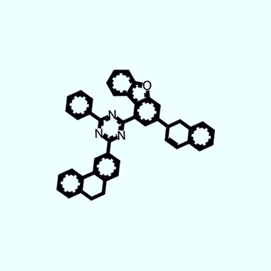 C1=CC(c2cc(-c3nc(-c4ccccc4)nc(-c4ccc5c(c4)-c4ccccc4CC5)n3)c3c(c2)oc2ccccc23)Cc2ccccc21